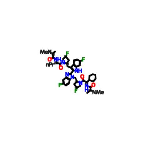 CCC[C@H](NC(=O)[C@H](C)NC)C(=O)N1C[C@@H](F)C[C@H]1Cc1c(-c2nc3cc(F)ccc3n2C[C@@H]2C[C@H](F)CN2C(=O)[C@@H](NC(=O)[C@H](C)NC)C2CCCCC2)[nH]c2cc(F)ccc12